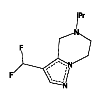 CC(C)N1CCn2ncc(C(F)F)c2C1